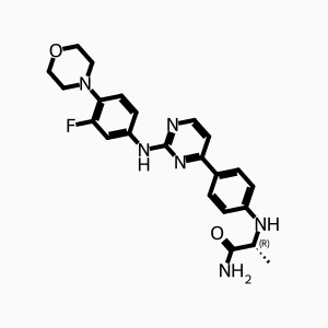 C[C@@H](Nc1ccc(-c2ccnc(Nc3ccc(N4CCOCC4)c(F)c3)n2)cc1)C(N)=O